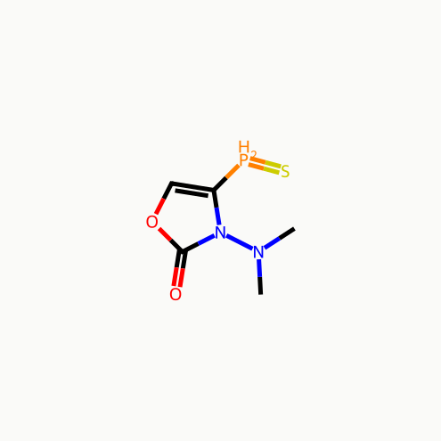 CN(C)n1c([PH2]=S)coc1=O